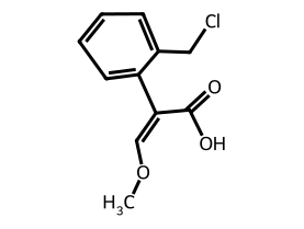 COC=C(C(=O)O)c1ccccc1CCl